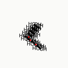 O=C(CO)[C@@H](O)[C@@H](O)[C@H](O)CO.O=C(CO)[C@@H](O)[C@H](O)CO.O=C(CO)[C@@H](O)[C@H](O)[C@H](O)CO.O=C[C@@H](O)[C@@H](O)[C@@H](O)CO.O=C[C@@H](O)[C@@H](O)[C@@H](O)[C@H](O)CO.O=C[C@@H](O)[C@@H](O)[C@H](O)CO.O=C[C@@H](O)[C@@H](O)[C@H](O)[C@H](O)CO